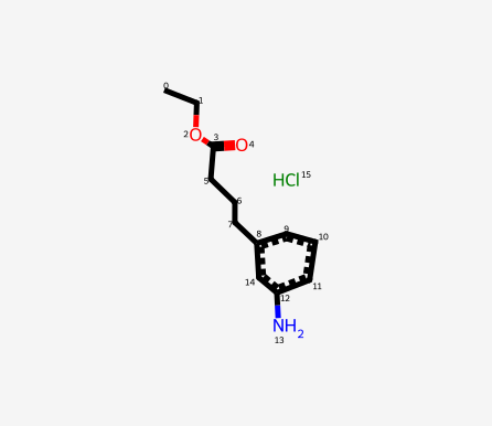 CCOC(=O)CCCc1cccc(N)c1.Cl